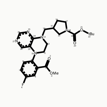 COC(=O)c1cc(F)ccc1N1CCN(CC2CCN(C(=O)OC(C)(C)C)C2)c2ncncc21